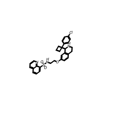 O=S(=O)(NCCOc1ccc2c(c1)C(C1(c3ccc(Cl)cc3)CCC1)NCC2)c1cccc2cccnc12